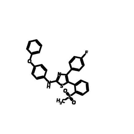 CS(=O)(=O)c1ccccc1-c1sc(Nc2ccc(Oc3ccccc3)cc2)nc1-c1ccc(F)cc1